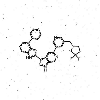 FC1(F)CCN(Cc2cncc(-c3cc4c(-c5nc6c(-c7ccncc7)cccc6[nH]5)n[nH]c4cn3)c2)C1